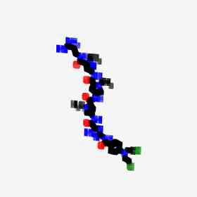 Cn1cc(NC(=O)c2nc(NC(=O)c3ccc(N(CCCl)CCCl)cc3)n[nH]2)cc1C(=O)Nc1cc(C(=O)Nc2cc(C(=O)NCCC(=N)N)n(C)n2)n(C)c1